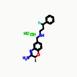 C[C@H]1Oc2ccc(CNCCC(F)c3ccccc3)cc2N=C1N.Cl.Cl